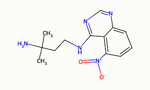 CC(C)(N)CCNc1ncnc2cccc([N+](=O)[O-])c12